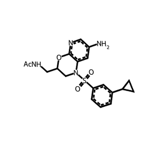 CC(=O)NCC1CN(S(=O)(=O)c2cccc(C3CC3)c2)c2cc(N)cnc2O1